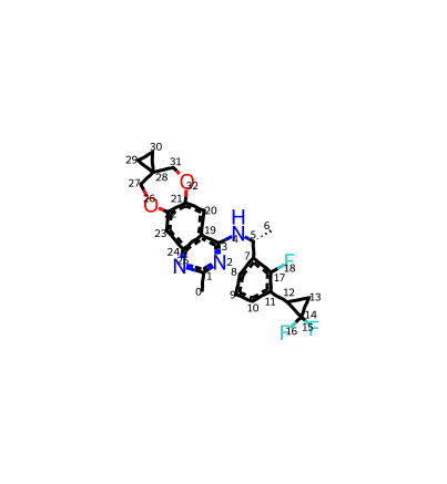 Cc1nc(N[C@H](C)c2cccc(C3CC3(F)F)c2F)c2cc3c(cc2n1)OCC1(CC1)CO3